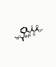 C=C(Nc1ccccc1NC(=S)NC(=O)OC)OOC